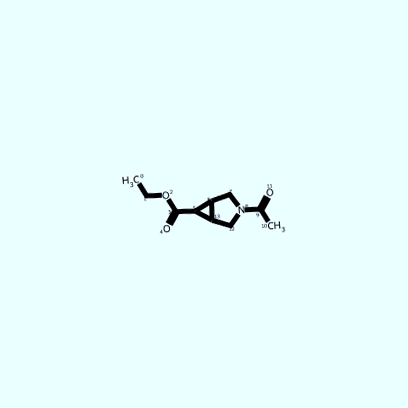 CCOC(=O)C1C2CN(C(C)=O)CC21